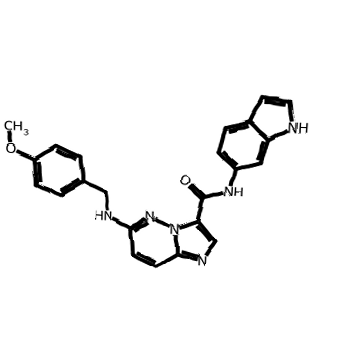 COc1ccc(CNc2ccc3ncc(C(=O)Nc4ccc5cc[nH]c5c4)n3n2)cc1